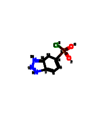 O=S(=O)(Cl)C1=CC=C2N=NN=C2C1